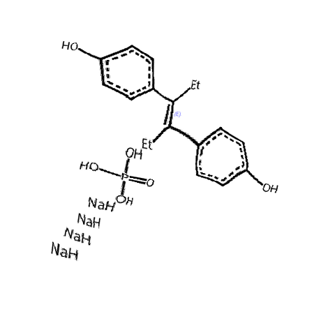 CC/C(=C(/CC)c1ccc(O)cc1)c1ccc(O)cc1.O=P(O)(O)O.[NaH].[NaH].[NaH].[NaH]